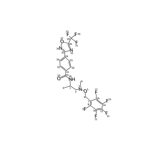 CC(CN(C)OCc1c(F)c(F)c(F)c(F)c1F)NC(=O)c1ccc(-c2noc(C(F)(F)F)n2)cc1